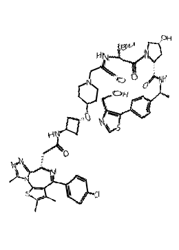 Cc1sc2c(c1C)C(c1ccc(Cl)cc1)=N[C@@H](CC(=O)N[C@H]1C[C@H](OC3CCN(CC(=O)N[C@H](C(=O)N4C[C@H](O)C[C@@H]4C(=O)N[C@@H](C)c4ccc(-c5scnc5CO)cc4)C(C)(C)C)CC3)C1)c1nnc(C)n1-2